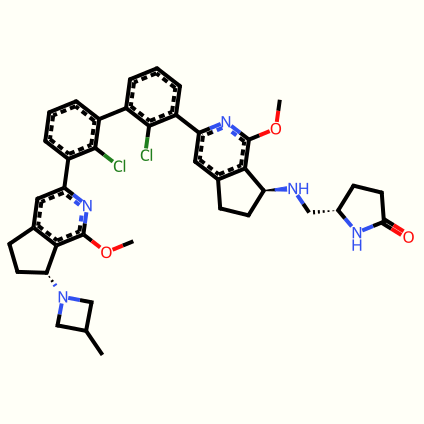 COc1nc(-c2cccc(-c3cccc(-c4cc5c(c(OC)n4)[C@H](N4CC(C)C4)CC5)c3Cl)c2Cl)cc2c1[C@@H](NC[C@@H]1CCC(=O)N1)CC2